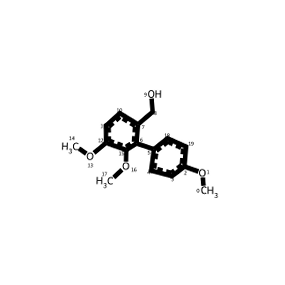 COc1ccc(-c2c(CO)ccc(OC)c2OC)cc1